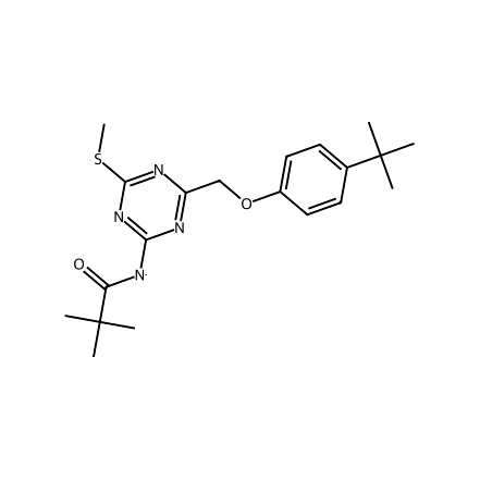 CSc1nc(COc2ccc(C(C)(C)C)cc2)nc([N]C(=O)C(C)(C)C)n1